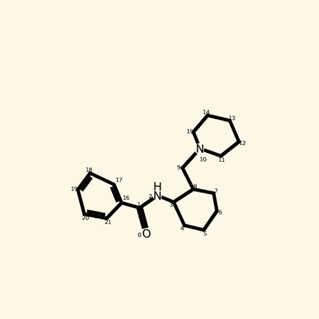 O=C(NC1CCCCC1CN1CCCCC1)c1ccccc1